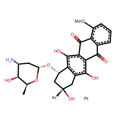 COc1cccc2c1C(=O)c1c(O)c3c(c(O)c1C2=O)C[C@@](O)(C(C)=O)C[C@@H]3O[C@H]1C[C@H](N)[C@H](O)[C@H](C)O1.[Pt]